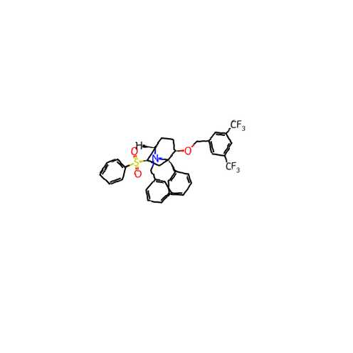 O=S(=O)(c1ccccc1)[C@@H]1C[C@@]2(c3ccccc3)[C@H](OCc3cc(C(F)(F)F)cc(C(F)(F)F)c3)CC[C@@H]1N2Cc1ccccc1